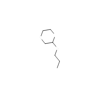 CCCN[C]1CNCCO1